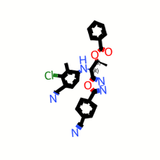 Cc1c(N[C@@H](c2nnc(-c3ccc(C#N)cc3)o2)[C@H](C)OC(=O)c2ccccc2)ccc(C#N)c1Cl